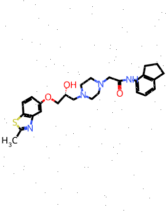 Cc1nc2cc(OC[C@H](O)CN3CCN(CC(=O)Nc4cccc5c4CCC5)CC3)ccc2s1